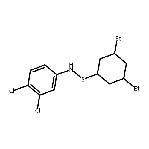 CCC1CC(CC)CC(SNc2ccc(Cl)c(Cl)c2)C1